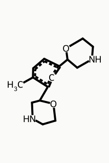 Cc1ccc(C2CNCCO2)cc1C1CNCCO1